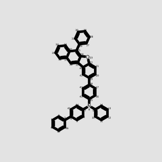 c1ccc(-c2ccc(N(c3ccccc3)c3ccc(-c4ccc5oc6c(-c7ccccc7)c7ccccc7cc6c5c4)cc3)cc2)cc1